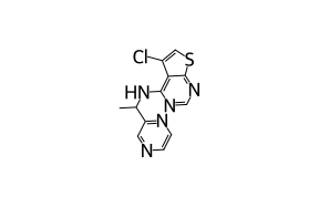 CC(Nc1ncnc2scc(Cl)c12)c1cnccn1